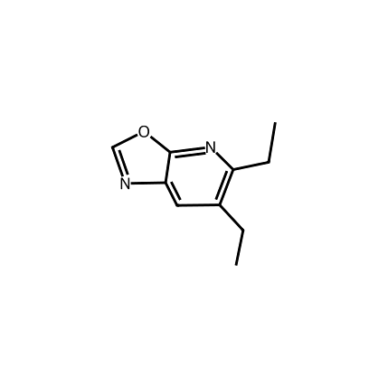 CCc1cc2ncoc2nc1CC